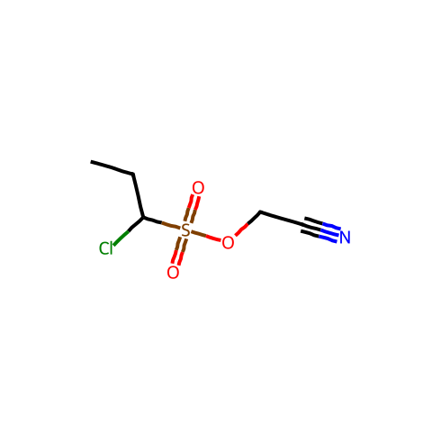 CCC(Cl)S(=O)(=O)OCC#N